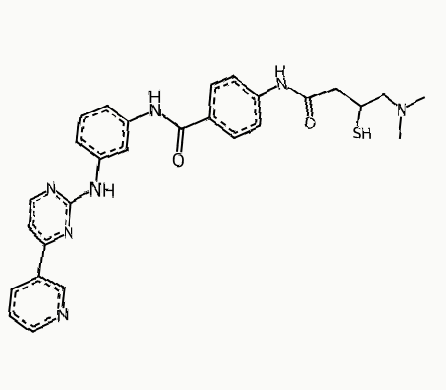 CN(C)CC(S)CC(=O)Nc1ccc(C(=O)Nc2cccc(Nc3nccc(-c4cccnc4)n3)c2)cc1